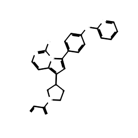 C=CC(=O)N1CCC(c2cc(-c3ccc(Oc4ccccn4)cc3)n3c(N)nccc23)C1